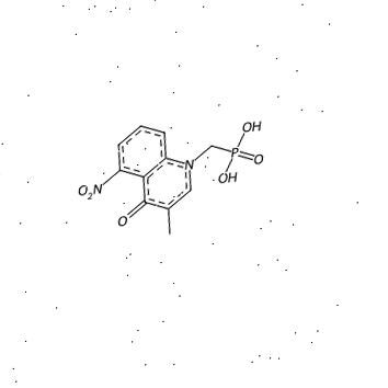 Cc1cn(CP(=O)(O)O)c2cccc([N+](=O)[O-])c2c1=O